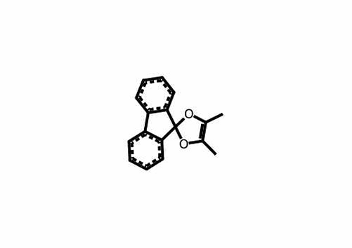 CC1=C(C)OC2(O1)c1ccccc1-c1ccccc12